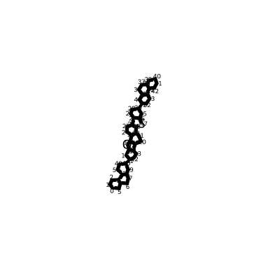 c1ccc2c(c1)ccc1cc(-c3ccc4c(c3)oc3c4ccc4c3ccc3c5ccc(-c6ccc7c(ccc8ccccc87)c6)cc5sc34)ccc12